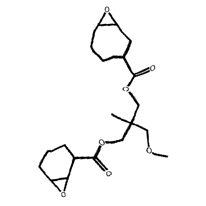 COCC(C)(COC(=O)C1CCC2OC2C1)COC(=O)C1CCCC2OC21